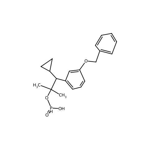 CC(C)(O[PH](=O)O)C(c1cccc(OCc2ccccc2)c1)C1CC1